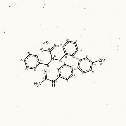 N=C(N)Nc1ccccc1.S=C([S-])N(Cc1ccccc1)Cc1ccccc1.[S].[Zn+][c]1ccccc1